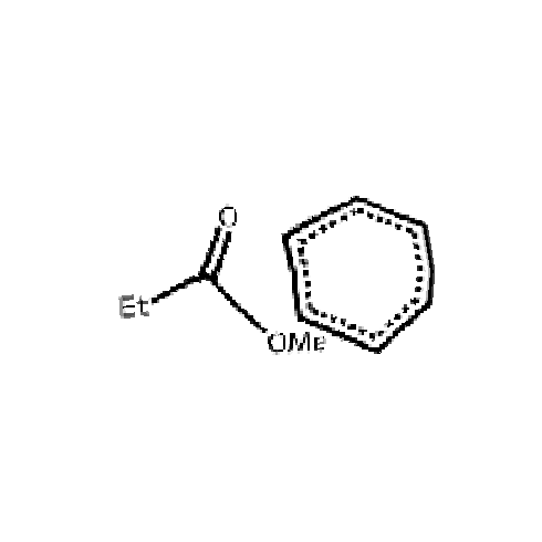 CCC(=O)OC.c1ccccc1